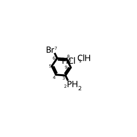 Cl.Cl.Pc1ccc(Br)cc1